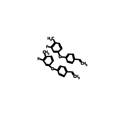 C=Cc1ccc(Oc2ccc(C)c(F)c2)cc1.C=Cc1ccc(Oc2ccc(C)c(F)c2)cc1